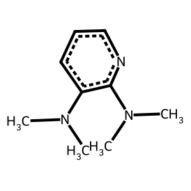 CN(C)c1cccnc1N(C)C